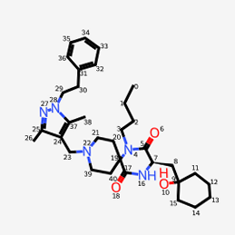 CCCCN1C(=O)[C@@H](CC2(O)CCCCC2)NC(=O)C12CCN(Cc1c(C)nn(CCc3ccccc3)c1C)CC2